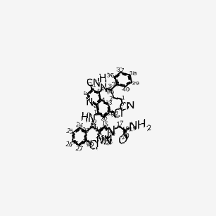 N#CCC[C@@H](Nc1c(C#N)cnc2c(N[C@H](c3cn(CC(N)=O)nn3)c3ccccc3Cl)cc(Cl)cc12)c1ccccc1